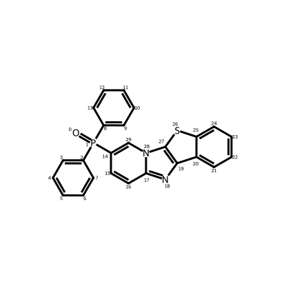 O=P(c1ccccc1)(c1ccccc1)c1ccc2nc3c4ccccc4sc3n2c1